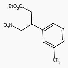 CCOC(=O)CC(C[N+](=O)[O-])c1cccc(C(F)(F)F)c1